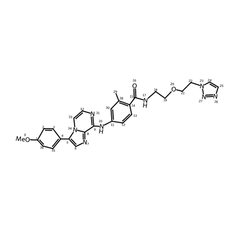 COc1ccc(-c2cnc3c(Nc4ccc(C(=O)NCCOCCn5ccnn5)c(C)c4)nccn23)cc1